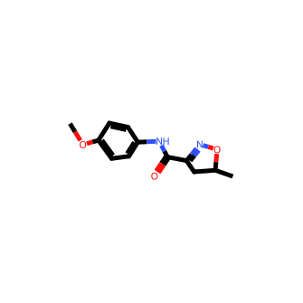 COc1ccc(NC(=O)C2=NOC(C)C2)cc1